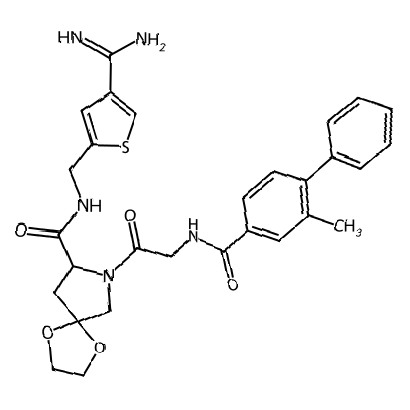 Cc1cc(C(=O)NCC(=O)N2CC3(CC2C(=O)NCc2cc(C(=N)N)cs2)OCCO3)ccc1-c1ccccc1